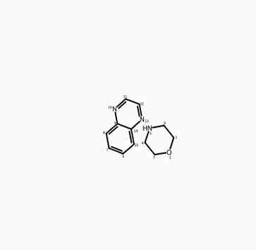 C1COCCN1.c1ccc2nccnc2c1